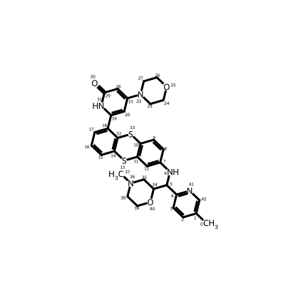 Cc1ccc(C(Nc2ccc3c(c2)Sc2cccc(-c4cc(N5CCOCC5)cc(=O)[nH]4)c2S3)C2CN(C)CCO2)nc1